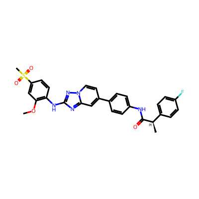 COc1cc(S(C)(=O)=O)ccc1Nc1nc2cc(-c3ccc(NC(=O)[C@H](C)c4ccc(F)cc4)cc3)ccn2n1